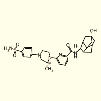 C[C@@H]1CN(c2ccc(S(N)(=O)=O)cc2)CCN1c1cccc(C(=O)N[C@H]2C3CC4CC2C[C@](O)(C4)C3)n1